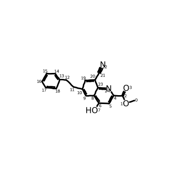 COC(=O)c1cc(O)c2cc(CCc3ccccc3)cc(C#N)c2n1